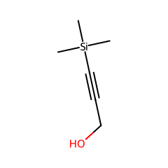 C[Si](C)(C)C#CCO